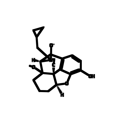 COC12CCC[C@@H]3Oc4c(O)ccc5c4[C@@]31CC[N+]([O-])(CC1CC1)[C@@H]2C5